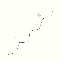 CCCCNC(=O)CCCC(=O)NCCC